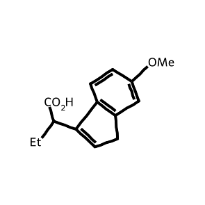 CCC(C(=O)O)C1=CCc2cc(OC)ccc21